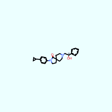 O=C1N(c2ccc(C3CC3)cc2)CCC12CCN(C[C@H](O)c1ccccc1)CC2